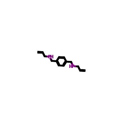 C=CCPCc1ccc(CPCC=C)cc1